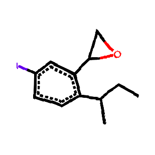 CCC(C)c1ccc(I)cc1C1CO1